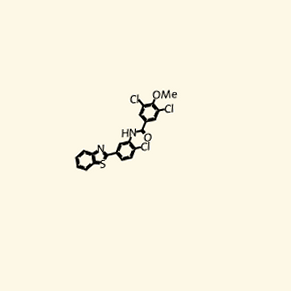 COc1c(Cl)cc(C(=O)Nc2cc(-c3nc4ccccc4s3)ccc2Cl)cc1Cl